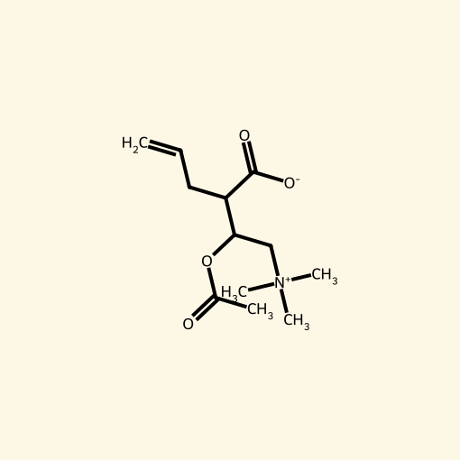 C=CCC(C(=O)[O-])C(C[N+](C)(C)C)OC(C)=O